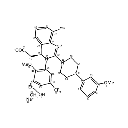 CCO.COc1cccc(N2CCN(C3=Nc4c(F)cccc4[C@H](CC(=O)[O-])N3c3cc(C(F)(F)F)ccc3OC)CC2)c1.O.[Na+]